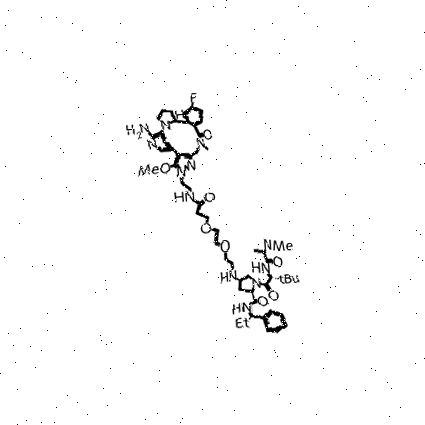 CC[C@H](NC(=O)[C@H]1C[C@@H](NCCOCCOCCC(=O)NCCn2nc3c(c2OC)-c2cnc(N)c(c2)N2CCC[C@@H]2c2cc(F)ccc2C(=O)N(C)C3)CN1C(=O)[C@H](NC(=O)[C@@H](C)NC)C(C)(C)C)c1ccccc1